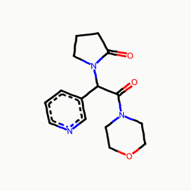 O=C(C(c1cccnc1)N1CCCC1=O)N1CCOCC1